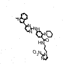 Cn1cc(-c2ccnc(Nc3ccc(C(=O)NCCCn4ccnc4[N+](=O)[O-])c(N4CCCCC4)c3)n2)c2ccccc21